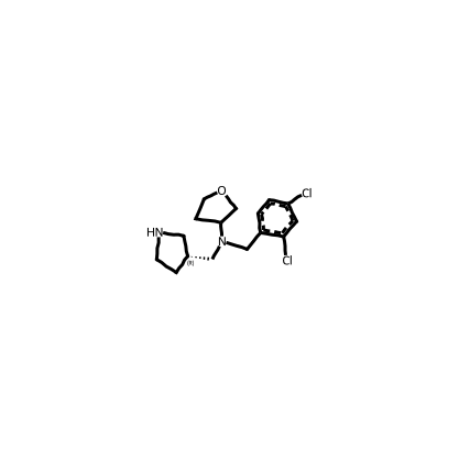 Clc1ccc(CN(C[C@@H]2CCNC2)C2CCOC2)c(Cl)c1